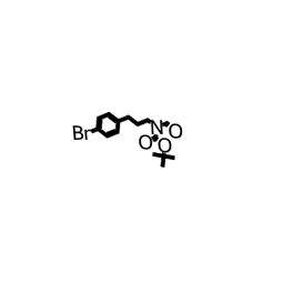 CC(C)(C)OC(=O)N(C=O)CCCc1ccc(Br)cc1